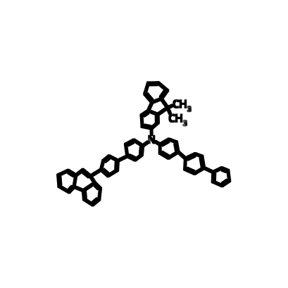 CC1(C)c2ccccc2-c2ccc(N(c3ccc(-c4ccc(-c5ccccc5)cc4)cc3)c3ccc(-c4ccc(-c5cc6ccccc6c6ccccc56)cc4)cc3)cc21